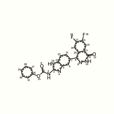 O=C(Nc1nc2cc(-c3n[nH]c(=O)c4cc(F)c(F)cc34)ccc2[nH]1)Oc1ccccc1